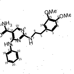 COc1ccc(CCNc2ncc(C(N)=O)c(Nc3ccccc3)n2)cc1OC